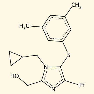 Cc1cc(C)cc(Sc2c(C(C)C)nc(CO)n2CC2CC2)c1